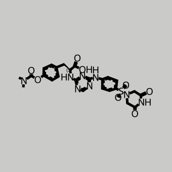 CN(C)C(=O)Oc1ccc(C[C@H](Nc2ncnc(Nc3ccc(S(=O)(=O)N4CC(=O)NC(=O)C4)cc3)n2)C(=O)O)cc1